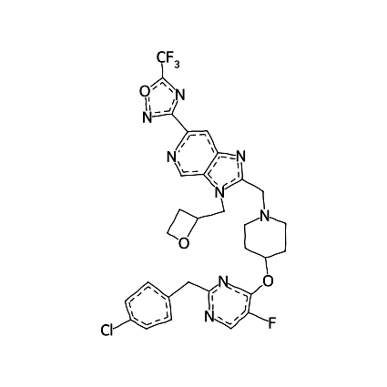 Fc1cnc(Cc2ccc(Cl)cc2)nc1OC1CCN(Cc2nc3cc(-c4noc(C(F)(F)F)n4)ncc3n2CC2CCO2)CC1